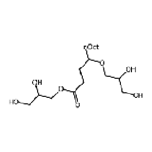 CCCCCCCCC(CCC(=O)OCC(O)CO)OCC(O)CO